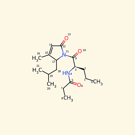 CCC[C@@H](NC(=O)CC)C(=O)N1C(=O)C=C(C)C1CC(C)C